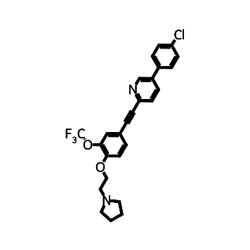 FC(F)(F)Oc1cc(C#Cc2ccc(-c3ccc(Cl)cc3)cn2)ccc1OCCN1CCCC1